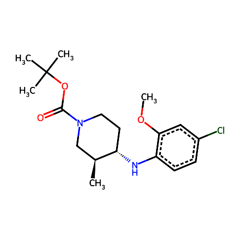 COc1cc(Cl)ccc1N[C@H]1CCN(C(=O)OC(C)(C)C)C[C@@H]1C